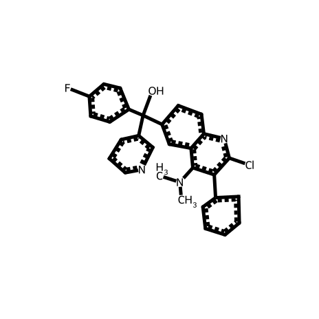 CN(C)c1c(-c2ccccc2)c(Cl)nc2ccc(C(O)(c3ccc(F)cc3)c3cccnc3)cc12